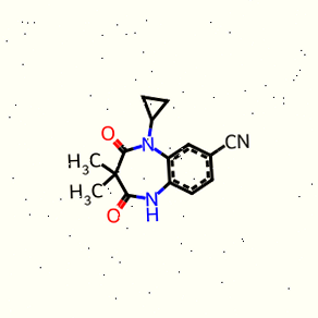 CC1(C)C(=O)Nc2ccc(C#N)cc2N(C2CC2)C1=O